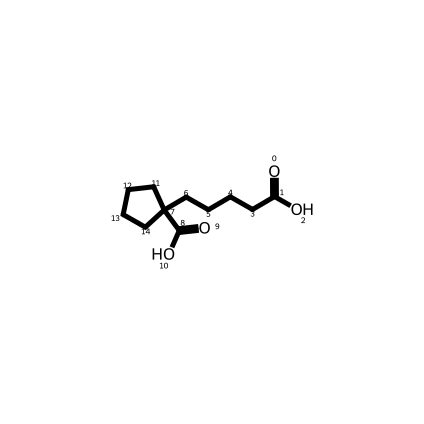 O=C(O)CCCCC1(C(=O)O)CCCC1